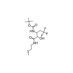 CSCCNC(=O)C(O)C(CC(F)(F)F)NC(=O)OC(C)(C)C